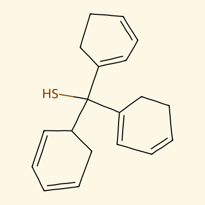 SC(C1=CC=CCC1)(C1=CC=CCC1)C1C=CC=CC1